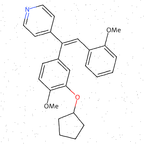 COc1ccccc1C=C(c1ccncc1)c1ccc(OC)c(OC2CCCC2)c1